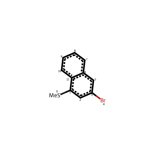 CSc1cc(Br)cc2ccccc12